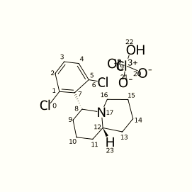 Clc1cccc(Cl)c1[C@H]1CCC[C@H]2CCCCN21.[O-][Cl+3]([O-])([O-])O